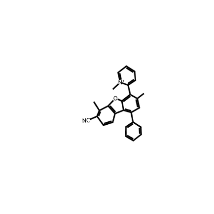 Cc1cc(-c2ccccc2)c2c(oc3c(C)c(C#N)ccc32)c1-c1cccc[n+]1C